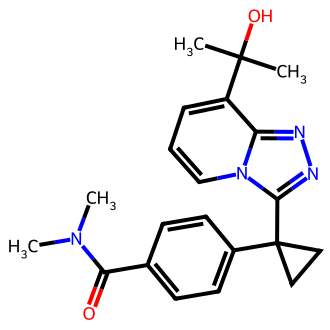 CN(C)C(=O)c1ccc(C2(c3nnc4c(C(C)(C)O)cccn34)CC2)cc1